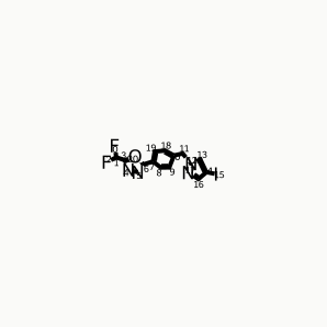 FC(F)c1nnc(-c2ccc(Cn3cc(I)cn3)cc2)o1